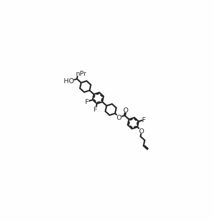 C=CCCOc1ccc(C(=O)OC2CCC(c3ccc(C4CCC(C(O)CCC)CC4)c(F)c3F)CC2)cc1F